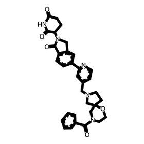 O=C1CCC(N2Cc3cc(-c4cc(CN5CCC6(C5)CN(C(=O)c5ccccc5)CCO6)ccn4)ccc3C2=O)C(=O)N1